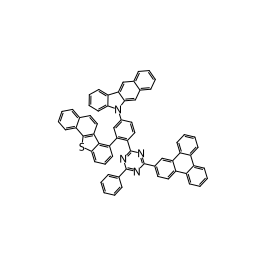 c1ccc(-c2nc(-c3ccc4c5ccccc5c5ccccc5c4c3)nc(-c3ccc(-n4c5ccccc5c5cc6ccccc6cc54)cc3-c3cccc4sc5c6ccccc6ccc5c34)n2)cc1